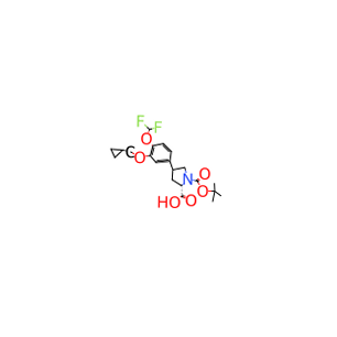 CC(C)(C)OC(=O)N1CC(c2ccc(OC(F)F)c(OCC3CC3)c2)C[C@H]1C(=O)O